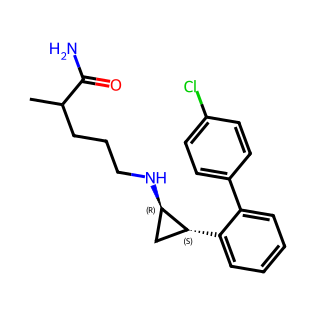 CC(CCCN[C@@H]1C[C@H]1c1ccccc1-c1ccc(Cl)cc1)C(N)=O